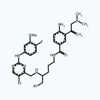 C=C(CN(C)C)c1cc(C(=O)NCCCC(CC(C)C)NCc2nc(Nc3ccc(F)c(OC)c3)ncc2CC)ccc1N